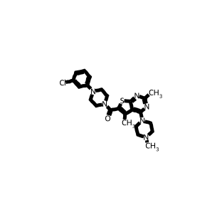 Cc1nc(N2CCN(C)CC2)c2c(C)c(C(=O)N3CCN(c4cccc(Cl)c4)CC3)sc2n1